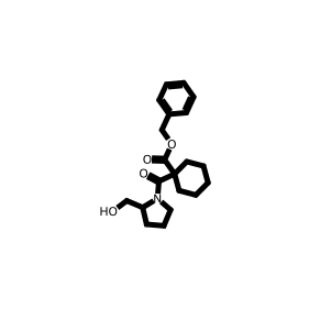 O=C(OCc1ccccc1)C1(C(=O)N2CCCC2CO)CCCCC1